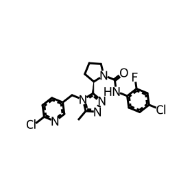 Cc1nnc([C@H]2CCCN2C(=O)Nc2ccc(Cl)cc2F)n1Cc1ccc(Cl)nc1